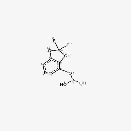 OB(O)Oc1cccc2c1OC(F)(F)O2